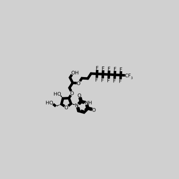 O=c1ccn([C@@H]2O[C@H](CO)[C@H](O)C2OCC(CO)OCCCC(F)(F)C(F)(F)C(F)(F)C(F)(F)C(F)(F)C(F)(F)F)c(=O)[nH]1